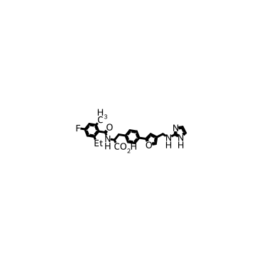 CCc1cc(F)cc(C)c1C(=O)NC(Cc1ccc(-c2cc(CNc3ncc[nH]3)co2)cc1)C(=O)O